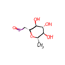 C[C@@H]1O[C@H](CP=O)[C@@H](O)[C@H](O)[C@H]1O